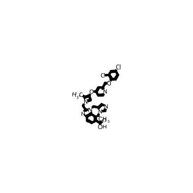 CCn1cncc1Cn1c(CN2CC(Oc3ccnc(COc4ccc(Cl)cc4Cl)c3)=C2C)nc2ccc(C(=O)O)cc21